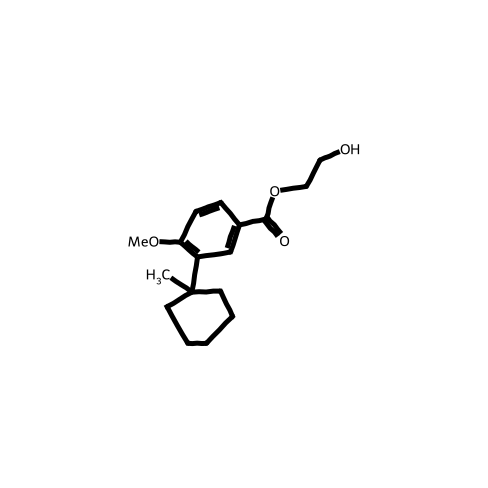 COc1ccc(C(=O)OCCO)cc1C1(C)CCCCC1